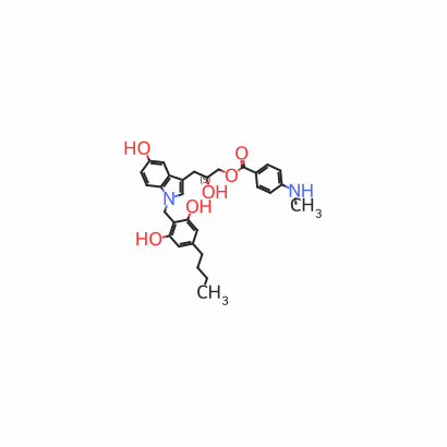 CCCCc1cc(O)c(Cn2cc(C[C@H](O)COC(=O)c3ccc(NC)cc3)c3cc(O)ccc32)c(O)c1